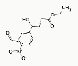 CCOC(=O)CCC(O)c1ccc([N+](=O)[O-])c(C=O)c1